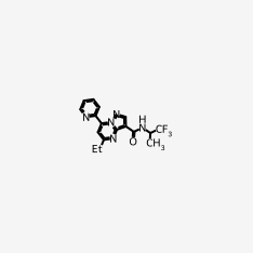 CCc1cc(-c2ccccn2)n2ncc(C(=O)NC(C)C(F)(F)F)c2n1